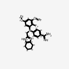 CCOc1cc(OC(C)C)c(F)c(N(Cc2nc3c([nH]2)CCCC3)c2ccc(C(=N)N)cc2)c1